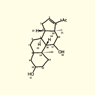 CC(=O)C1=CC[C@H]2[C@@H]3CCC4CC(O)CC[C@]4(C)[C@H]3C(O)C[C@]12C